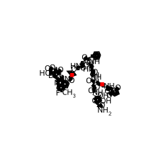 CC[C@@]1(O)C(=O)OCc2c1cc1n(c2=O)Cc2c-1nc1cc(F)c(C)c3c1c2[C@@H](NC(=O)C12CC(OCNC(=O)CNC(=O)[C@H](Cc4ccccc4)NC(=O)CNC(=O)CNC(=O)[C@H](CCC(=O)NC[C@H]4O[C@@H](CC(N)=O)[C@H](O)[C@@H]4O)NC(=O)CCNC(=O)CN4C(=O)C=CC4=O)(C1)C2)CC3